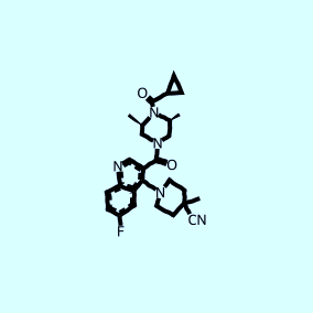 C[C@@H]1CN(C(=O)c2cnc3ccc(F)cc3c2N2CCC(C)(C#N)CC2)C[C@H](C)N1C(=O)C1CC1